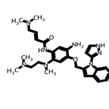 CN(C)C/C=C/C(=O)Nc1cc(N)c(OCc2cc3ccccc3n2-c2cc[nH]n2)cc1N(C)CCN(C)C